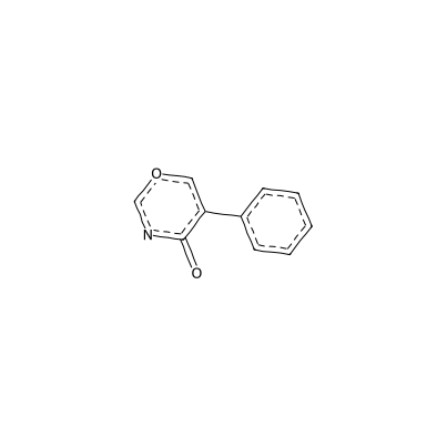 O=c1ncocc1-c1ccccc1